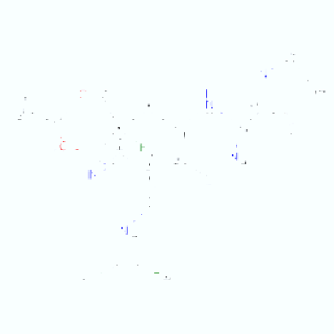 CC1OCC(F)(CC2=C(/C(C=N)=C/NC(F)F)CN=C(c3nccs3)N2)CO1